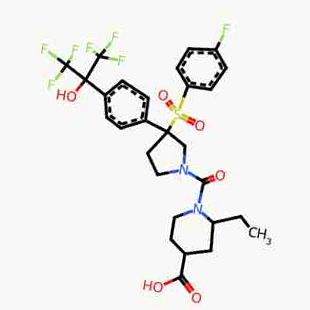 CCC1CC(C(=O)O)CCN1C(=O)N1CCC(c2ccc(C(O)(C(F)(F)F)C(F)(F)F)cc2)(S(=O)(=O)c2ccc(F)cc2)C1